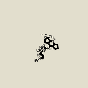 CC(C)n1ccc(S(N)(=O)=NC(=O)Nc2c3c(nc4c2CCC4(C)C)CCC3)n1